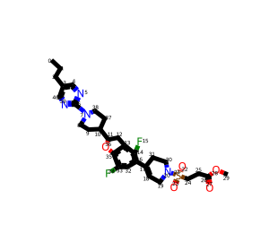 CCCc1cnc(N2CCC(C3Cc4c(F)c(C5=CCN(S(=O)(=O)CCC(=O)OC)CC5)cc(F)c4O3)CC2)nc1